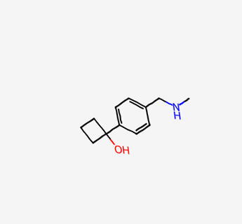 CNCc1ccc(C2(O)CCC2)cc1